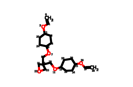 C=COC1CCC(OCC2(COC3CCC(OC=C)CC3)COC2)CC1